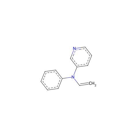 C=CN(c1ccccc1)c1cccnc1